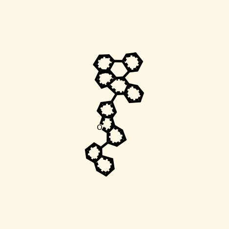 c1ccc(-c2ccccc2-c2c3ccccc3c(-c3ccc4oc5c(-c6cccc7ccccc67)cccc5c4c3)c3ccccc23)cc1